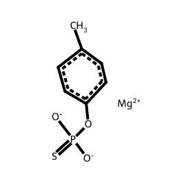 Cc1ccc(OP([O-])([O-])=S)cc1.[Mg+2]